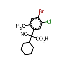 Cc1cc(Br)c(Cl)cc1C(C#N)(C(=O)O)C1CCCCC1